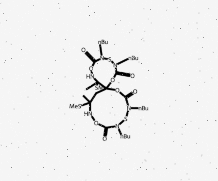 CCCCN1SN(CCCC)C(=O)OC2(CC(C)(SC)NOC1=O)OC(=O)N(CCCC)SN(CCCC)C(=O)ONC2(C)SC